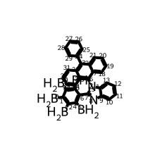 Bc1c(B)c(B)c(-c2nc3ccccc3n2-c2c3ccccc3c(-c3ccccc3)c3ccccc23)c(B)c1B